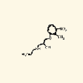 C=CCNCC(O)COc1cccc([N+](=O)[O-])c1C